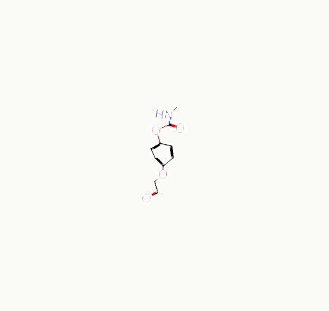 CNC(=O)Oc1ccc(OCC=O)cc1